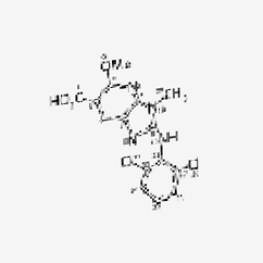 COc1nc2c(cc1C(=O)O)nc(Nc1c(Cl)cccc1Cl)n2C